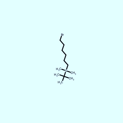 CC(C)(C)[Si](C)(C)CCCCCCBr